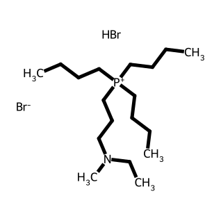 Br.CCCC[P+](CCCC)(CCCC)CCCN(C)CC.[Br-]